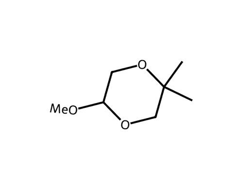 COC1COC(C)(C)CO1